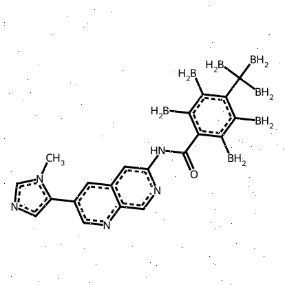 Bc1c(B)c(C(B)(B)B)c(B)c(B)c1C(=O)Nc1cc2cc(-c3cncn3C)cnc2cn1